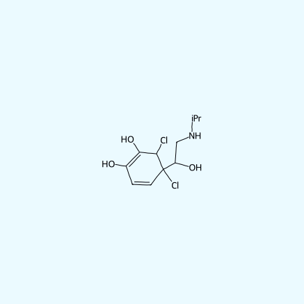 CC(C)NCC(O)C1(Cl)C=CC(O)=C(O)C1Cl